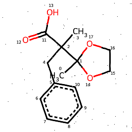 CC1(C(C)(Cc2ccccc2)C(=O)O)OCCO1